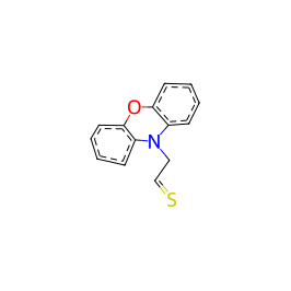 S=CCN1c2ccccc2Oc2ccccc21